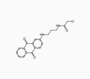 O=C(CCl)NCCCNc1ccc2c(c1)C(=O)c1ccccc1C2=O